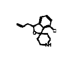 C=CCC1OC2(CCNCC2)c2c(Cl)cccc21